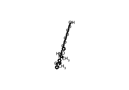 Cc1ccccc1C(=O)n1ccc2cc(-c3nc(NC(=O)Cc4cccc(OCCOCCOCCOCCOCCOCCO)c4)sc3C)ccc21